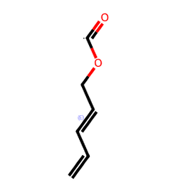 C=C/C=C/CO[C]=O